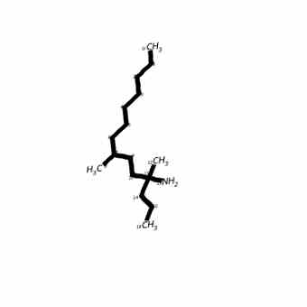 CCCCCCCC(C)CCC(C)(N)CCC